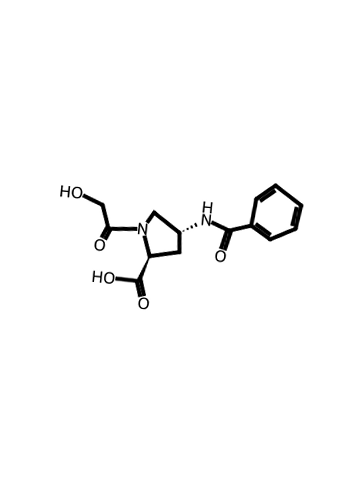 O=C(N[C@@H]1C[C@@H](C(=O)O)N(C(=O)CO)C1)c1ccccc1